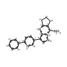 Nc1c2c(nc3c(-c4ccc(-c5ccccc5)nc4)cnn13)CCC2